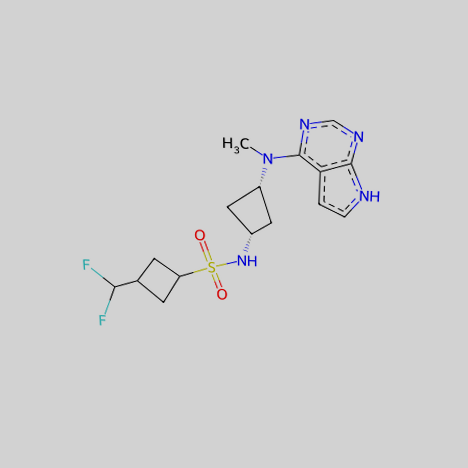 CN(c1ncnc2[nH]ccc12)[C@H]1C[C@@H](NS(=O)(=O)C2CC(C(F)F)C2)C1